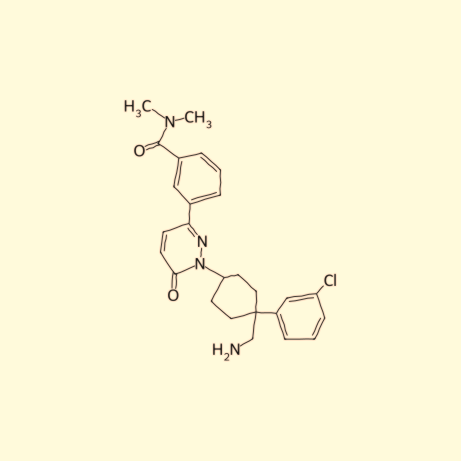 CN(C)C(=O)c1cccc(-c2ccc(=O)n(C3CCC(CN)(c4cccc(Cl)c4)CC3)n2)c1